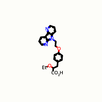 CCOC(Cc1ccc(OCCn2c3cccnc3c3cccnc32)cc1)C(=O)O